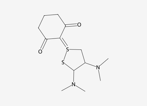 CN(C)C1CS(=C2C(=O)CCCC2=O)SC1N(C)C